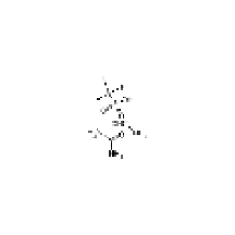 NC(N)=O.NC=O.O=S(=O)(O)C(F)(F)F